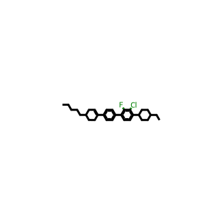 CCCCCC1CC=C(c2ccc(-c3ccc(C4CCC(CC)CC4)c(Cl)c3F)cc2)CC1